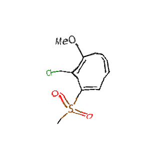 COc1cccc(S(C)(=O)=O)c1Cl